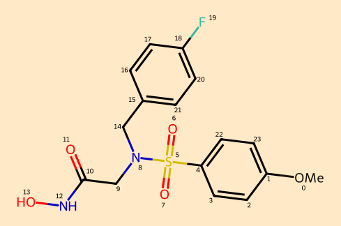 COc1ccc(S(=O)(=O)N(CC(=O)NO)Cc2ccc(F)cc2)cc1